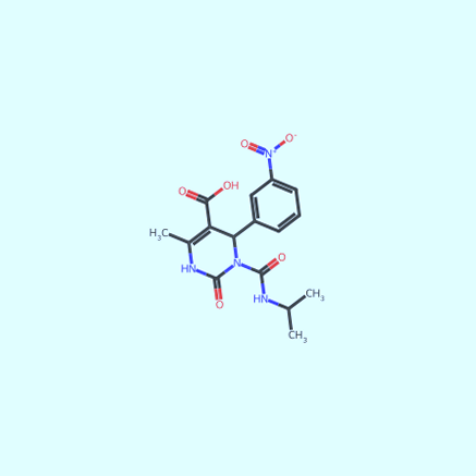 CC1=C(C(=O)O)C(c2cccc([N+](=O)[O-])c2)N(C(=O)NC(C)C)C(=O)N1